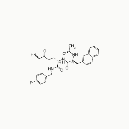 CC(=O)N[C@@H](Cc1ccc2ccccc2c1)C(=O)N[C@@H](CCC(=O)C=N)C(=O)NCc1ccc(F)cc1